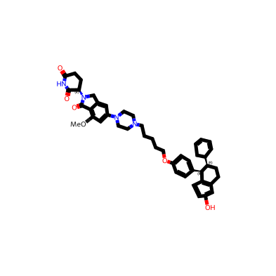 COc1cc(N2CCN(CCCCCOc3ccc([C@@H]4c5ccc(O)cc5CC[C@@H]4C4C=CC=CC4)cc3)CC2)cc2c1C(=O)N([C@@H]1CCC(=O)NC1=O)C2